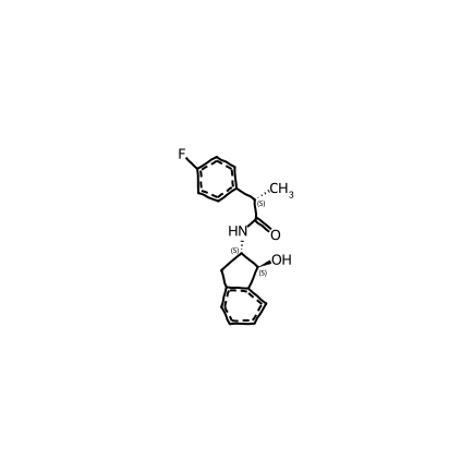 C[C@H](C(=O)N[C@H]1Cc2ccccc2[C@@H]1O)c1ccc(F)cc1